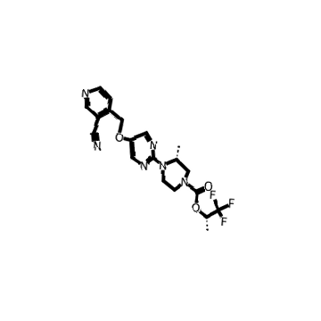 C[C@@H]1CN(C(=O)O[C@@H](C)C(F)(F)F)CCN1c1ncc(OCc2ccncc2C#N)cn1